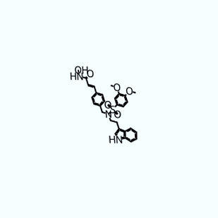 COc1ccc(S(=O)(=O)N(CCc2c[nH]c3ccccc23)Cc2ccc(/C=C/C(=O)NO)cc2)cc1OC